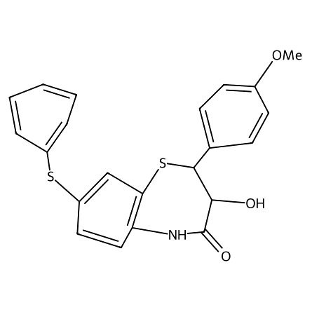 COc1ccc(C2Sc3cc(Sc4ccccc4)ccc3NC(=O)C2O)cc1